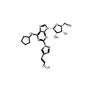 O=C(O)/C=C/c1cnn(-c2nc(NC3CCCC3)c3ncn([C@@H]4O[C@@H](CO)[C@H](O)[C@@H]4O)c3n2)c1